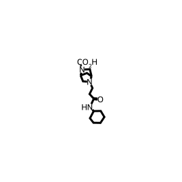 O=C(CCN1CC2CC1CN2C(=O)O)NC1CCCCC1